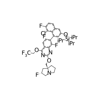 CC(C)[Si](Oc1cc(-c2c(F)cc3c(OCC(F)(F)F)nc(OC[C@@]45CCCN4C[C@H](F)C5)nc3c2F)c2c(Cl)c(F)ccc2c1)(C(C)C)C(C)C